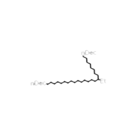 [CH2]CC(CCCCCCCCCCCCCCCCCC)CCCCCCCCCCCCCCCCCCCCCCCCC